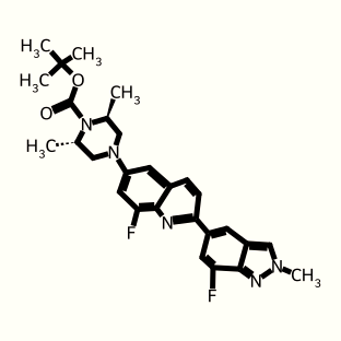 C[C@H]1CN(c2cc(F)c3nc(-c4cc(F)c5nn(C)cc5c4)ccc3c2)C[C@H](C)N1C(=O)OC(C)(C)C